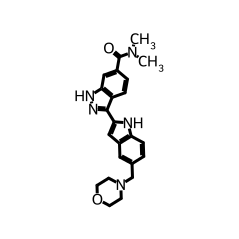 CN(C)C(=O)c1ccc2c(-c3cc4cc(CN5CCOCC5)ccc4[nH]3)n[nH]c2c1